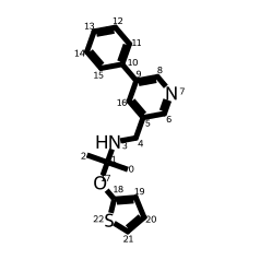 CC(C)(NCc1cncc(-c2ccccc2)c1)Oc1cccs1